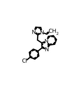 C=Cn1ccnc1Cc1c(-c2ccc(Cl)cc2)nc2ccccn12